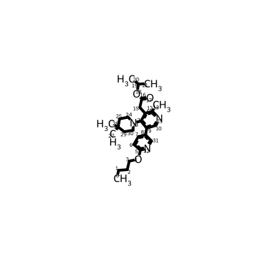 CCCCOc1ccc(-c2cnc(C)c(CC(=O)OC(C)C)c2N2CCC(C)(C)CC2)cn1